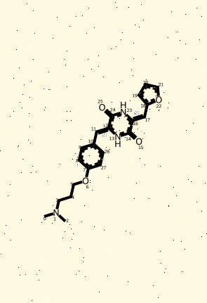 CN(C)CCCOc1ccc(/C=c2\[nH]c(=O)/c(=C/c3ccco3)[nH]c2=O)cc1